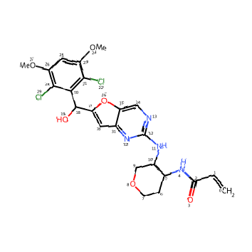 C=CC(=O)NC1CCOCC1Nc1ncc2oc(C(O)c3c(Cl)c(OC)cc(OC)c3Cl)cc2n1